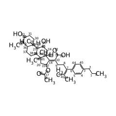 CCCc1ccc(C(CCC(C(=O)O)=C2[C@@H](OC(C)=O)C[C@@]3(C)[C@@H]2C[C@@H](O)[C@@H]2[C@@]4(C)CC[C@@H](O)[C@@H](C)C4CC[C@@]23C)=C(C)C)cc1